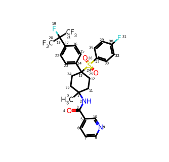 CC1(NC(=O)c2cccnc2)CCC(c2ccc(C(F)(C(F)(F)F)C(F)(F)F)cc2)(S(=O)(=O)c2ccc(F)cc2)CC1